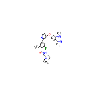 CCc1cc(-c2cc(Oc3ccc(C(C)=N)c(NC)c3)ccn2)cc(F)c1C(=O)NCC1CCCN1CC